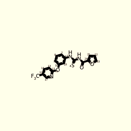 O=C(NC(=S)Nc1cccc(Oc2ccc(C(F)(F)F)cn2)c1)c1ccco1